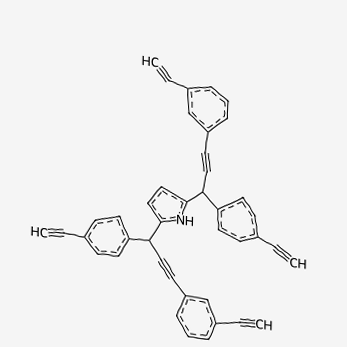 C#Cc1ccc(C(C#Cc2cccc(C#C)c2)c2ccc(C(C#Cc3cccc(C#C)c3)c3ccc(C#C)cc3)[nH]2)cc1